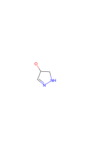 [O]C1C=NNC1